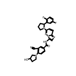 N#Cc1cc(C(=O)Nc2cnc3ccc(N4CCCC4c4cc(F)ccc4F)nn23)ccc1N1CCC(O)C1